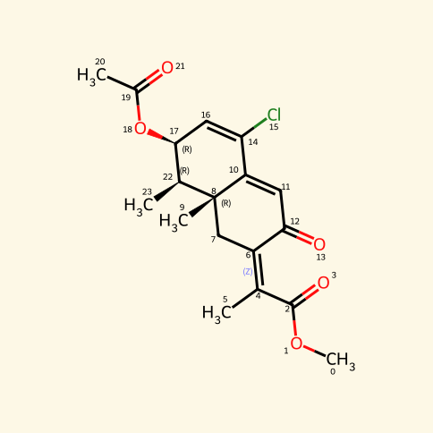 COC(=O)/C(C)=C1/C[C@@]2(C)C(=CC1=O)C(Cl)=C[C@H](OC(C)=O)[C@@H]2C